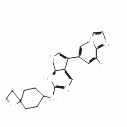 Fc1cc(-c2c[nH]c3nc(NC4CCC5(CCO5)CC4)ncc23)cn2ccnc12